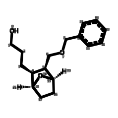 OCCC[C@H]1[C@@H](COCc2ccccc2)[C@H]2CC[C@@H]1O2